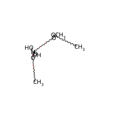 CCCCCCCCCCCCCCCCOCC(O)CN(CCO)C(=O)CCCCCCCCCCCCCCCOC(=O)C(C)CCCCCCCCCCCCCCC